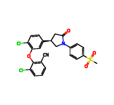 CS(=O)(=O)c1ccc(N2C[C@@H](c3ccc(Cl)c(Oc4c(Cl)cccc4C#N)c3)CC2=O)cc1